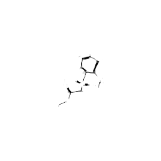 COC(=O)CS(=O)(=O)c1ccccc1OC